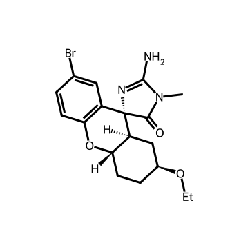 CCO[C@H]1CC[C@@H]2Oc3ccc(Br)cc3[C@]3(N=C(N)N(C)C3=O)[C@H]2C1